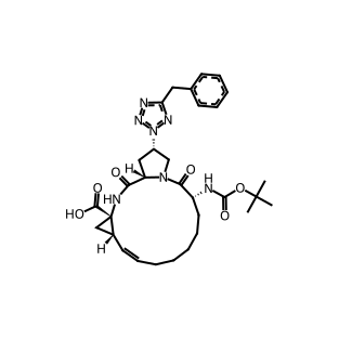 CC(C)(C)OC(=O)N[C@@H]1CCCCC/C=C\[C@@H]2C[C@]2(C(=O)O)NC(=O)[C@@H]2C[C@H](n3nnc(Cc4ccccc4)n3)CN2C1=O